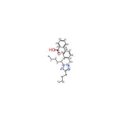 CCCCCc1nc(CCCC)nn1Cc1ccc(-c2ccccc2C(=O)O)cc1